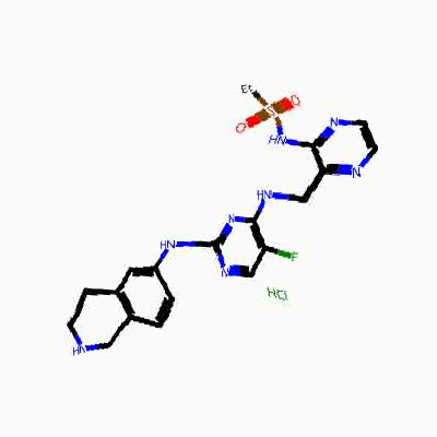 CCS(=O)(=O)Nc1nccnc1CNc1nc(Nc2ccc3c(c2)CCNC3)ncc1F.Cl